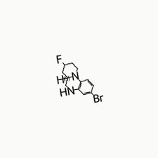 FC1CCN2c3ccc(Br)cc3NC[C@@H]2C1